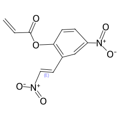 C=CC(=O)Oc1ccc([N+](=O)[O-])cc1/C=C/[N+](=O)[O-]